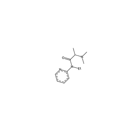 CCN(C(=O)C(C)N(C)C)c1ccccn1